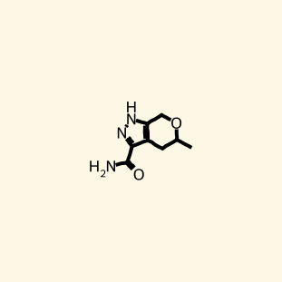 CC1Cc2c(C(N)=O)n[nH]c2CO1